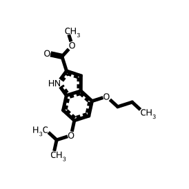 CCCOc1cc(OC(C)C)cc2[nH]c(C(=O)OC)cc12